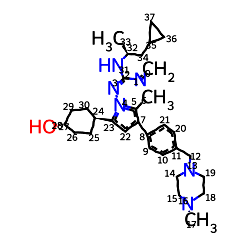 C=N/C(=N\n1c(C)c(-c2ccc(CN3CCN(C)CC3)cc2)cc1[C@H]1CC[C@H](O)CC1)N[C@@H](C)CC1CC1